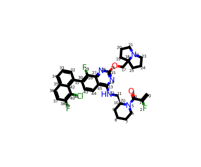 C=C(F)C(=O)N1CCCC[C@H]1CNc1nc(OCC23CCCN2CCC3)nc2c(F)c(-c3cccc4ccc(F)c(Cl)c34)ccc12